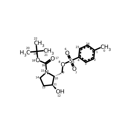 Cc1ccc(S(=O)(=O)OC[C@@H]2[C@@H](O)CCN2C(=O)OC(C)(C)C)cc1